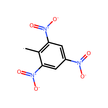 [CH2]c1c([N+](=O)[O-])cc([N+](=O)[O-])cc1[N+](=O)[O-]